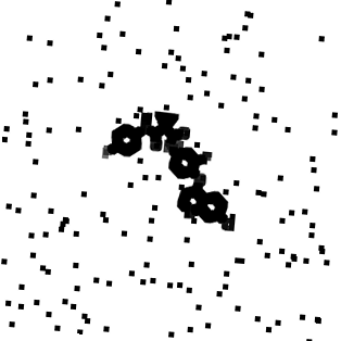 O=C(Nc1ccc(F)cc1)C1(C(=O)Nc2ccc(Oc3ccnc4cc(Cl)ccc34)c(F)c2)CC1